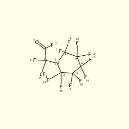 O=C(F)C(F)(N1C(F)(F)C(F)(F)C(F)(F)C(F)(F)C1(F)F)C(F)(F)F